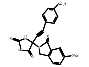 COc1ccc2c(c1)C(=O)N(C1(C#Cc3ccc(S(=O)(=O)O)cc3)NC(=O)NC1=O)C2